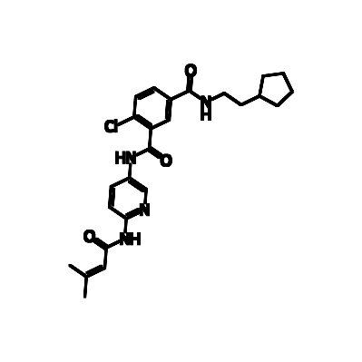 CC(C)=CC(=O)Nc1ccc(NC(=O)c2cc(C(=O)NCCC3CCCC3)ccc2Cl)cn1